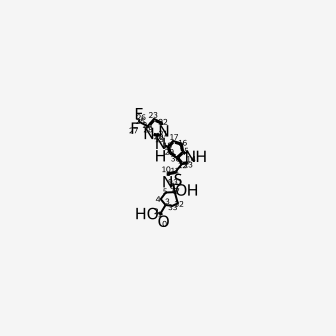 O=C(O)C1CCC(O)(c2ncc(-c3c[nH]c4ccc(Nc5nccc(C(F)F)n5)cc34)s2)CC1